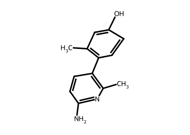 Cc1cc(O)ccc1-c1ccc(N)nc1C